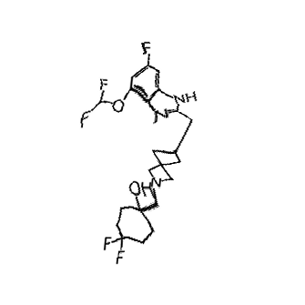 OC1(CN2CC3(CC(Cc4nc5c(OC(F)F)cc(F)cc5[nH]4)C3)C2)CCC(F)(F)CC1